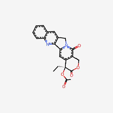 CC[C@@]1(OC(C)=O)C(=O)OCc2c1cc1n(c2=O)Cc2cc3ccccc3nc2-1